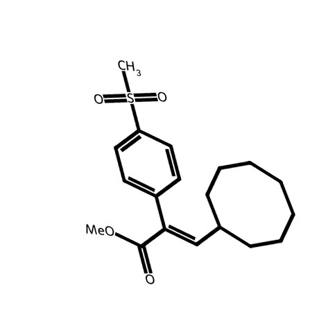 COC(=O)C(=CC1CCCCCCC1)c1ccc(S(C)(=O)=O)cc1